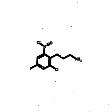 NCCCc1c(Cl)cc(I)cc1[N+](=O)[O-]